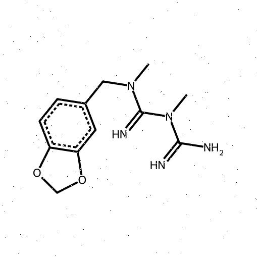 CN(Cc1ccc2c(c1)OCO2)C(=N)N(C)C(=N)N